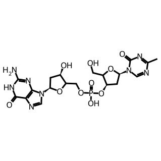 Cc1ncn([C@H]2C[C@@H](OP(=O)(O)OCC3O[C@@H](n4cnc5c(=O)[nH]c(N)nc54)C[C@H]3O)C(CO)O2)c(=O)n1